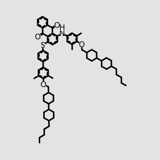 CCCCCC1CCC(C2CCC(COc3c(C)cc(Nc4ccc(Sc5ccc(-c6cc(C)c(OCC7CCC(C8CCC(CCCCC)CC8)CC7)c(C)c6)cc5)c5c4C(=O)c4ccccc4C5=O)cc3C)CC2)CC1